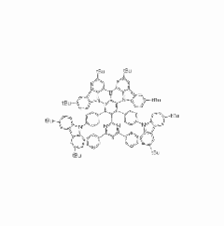 CC(C)(C)c1ccc2c(c1)c1cc(C(C)(C)C)ccc1n2-c1ccc(-c2c(-c3nc(-c4ccccc4)nc(-c4ccccc4)n3)c(-c3ccc(-n4c5ccc(C(C)(C)C)cc5c5cc(C(C)(C)C)ccc54)cc3)c3c4c2-n2c5ccc(C(C)(C)C)cc5c5cc(C(C)(C)C)cc(c52)B4c2cc(C(C)(C)C)cc4c5cc(C(C)(C)C)ccc5n-3c24)cc1